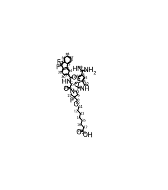 CC(NC(=O)[C@@H]1C[C@](F)(COCCCCCCCC(=O)O)CN1C(=O)CNC(=O)c1ccc2c(c1)-c1ccccc1C2(F)F)c1cc(C(=N)N)cs1